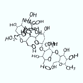 CC(=O)NC1C(O)C[C@](O[C@H](CO)[C@@H](O)C2O[C@@](OC3C(O)C(CO)OC(OC4C(CO)OC(C)C(O)C4O)C3O)(C(=O)O)CC(O)C2NC(C)=O)(C(=O)O)OC1[C@H](O)[C@H](O)CO